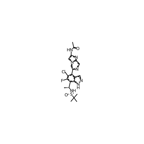 CC(=O)Nc1cn2cc(-c3c(Cl)c(F)c([C@H](C)N[S@@+]([O-])C(C)(C)C)c4[nH]ncc34)ncc2n1